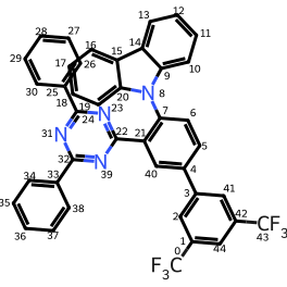 FC(F)(F)c1cc(-c2ccc(-n3c4ccccc4c4ccccc43)c(-c3nc(-c4ccccc4)nc(-c4ccccc4)n3)c2)cc(C(F)(F)F)c1